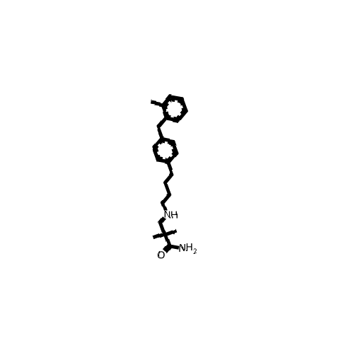 Cc1ccccc1Cc1ccc(CCCCNCC(C)(C)C(N)=O)cc1